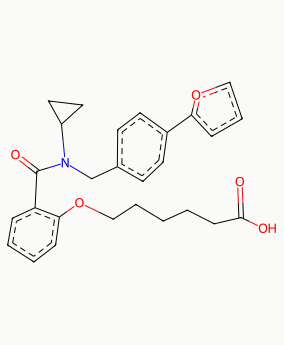 O=C(O)CCCCCOc1ccccc1C(=O)N(Cc1ccc(-c2ccco2)cc1)C1CC1